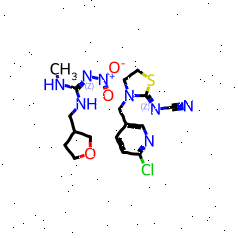 CN/C(=N/[N+](=O)[O-])NCC1CCOC1.N#C/N=C1\SCCN1Cc1ccc(Cl)nc1